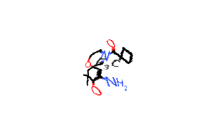 CC1(C)CC2(C=C(N)C1=O)CN(C(=O)C1(C(F)(F)F)CCC1)CCO2